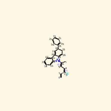 C=C/C(F)=C\C=C(/C)n1c2c(c3ccccc31)=CC(c1ccccc1)CC=2